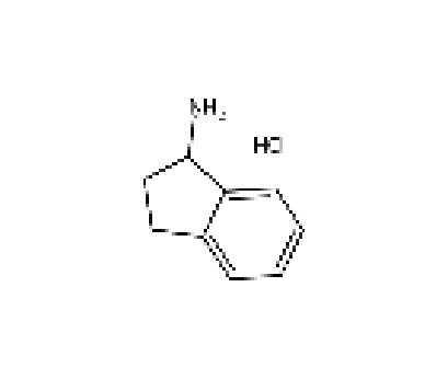 Cl.NC1CCc2ccccc21